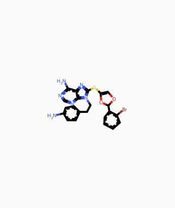 Nc1ccc(CCn2c(SC3=COC(c4ccccc4Br)O3)nc3c(N)ncnc32)cc1